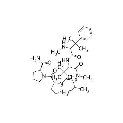 CNC(C(=O)N[C@H](C(=O)N(C)[C@H](CN1CCC[C@H]1C(=O)N1CCC[C@H]1C(N)=O)C(C)C)C(C)(C)C)C(C)(C)c1ccccc1